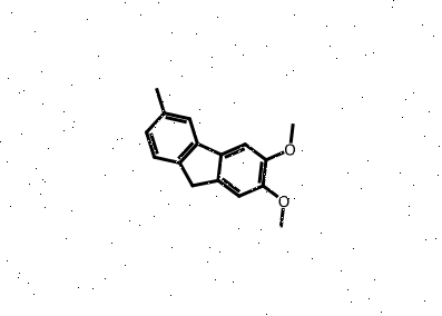 COc1cc2c(cc1OC)-c1cc(C)ccc1C2